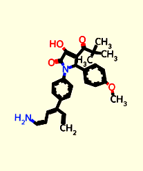 C=C/C(=C\C=C/N)c1ccc(N2C(=O)C(O)=C(C(=O)C(C)(C)C)C2c2ccc(OC)cc2)cc1